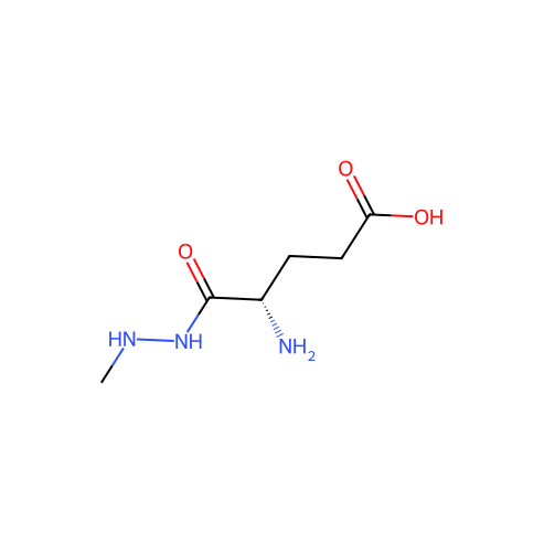 CNNC(=O)[C@@H](N)CCC(=O)O